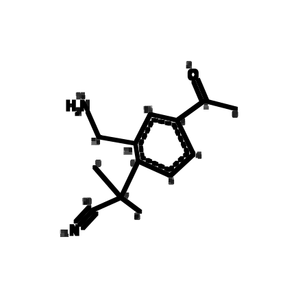 CC(=O)c1ccc(C(C)(C)C#N)c(CN)c1